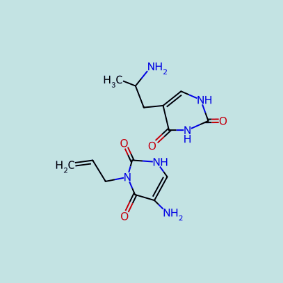 C=CCn1c(=O)[nH]cc(N)c1=O.CC(N)Cc1c[nH]c(=O)[nH]c1=O